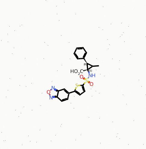 CC1[C@H](c2ccccc2)[C@]1(NS(=O)(=O)c1ccc(-c2ccc3nonc3c2)s1)C(=O)O